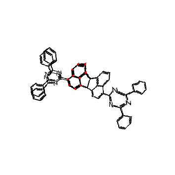 c1ccc(-c2nc(-c3ccccc3)nc(-c3ccc4c5c(cccc35)C35c6cccc7c(-c8nc(-c9ccccc9)nc(-c9ccccc9)n8)ccc(c67)C43c3ccc(-c4nc(-c6ccccc6)nc(-c6ccccc6)n4)c4cccc5c34)n2)cc1